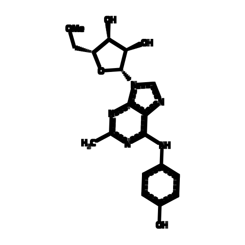 COC[C@H]1O[C@@H](n2cnc3c(Nc4ccc(O)cc4)nc(C)nc32)[C@H](O)[C@@H]1O